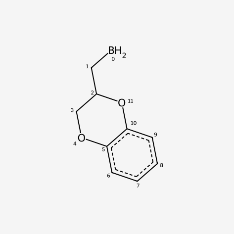 BCC1COc2ccccc2O1